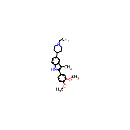 CCN1CCC(c2ccc3[nH]c(-c4ccc(OC)c(OC)c4)c(C)c3c2)CC1